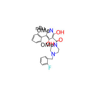 CCCCc1nc(O)c(C(=O)N2CCN(Cc3ccccc3F)CC2)c(O)c1-c1c(OC)cccc1OC